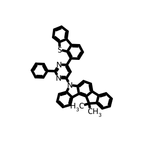 CC1(C)c2ccccc2-c2ccc3c(c21)c1ccccc1n3-c1cc(-c2cccc3c2sc2ccccc23)nc(-c2ccccc2)n1